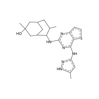 Cc1cc(Nc2nc(NC3C(C)CC4CC3CC(C)(O)C4)nc3ccsc23)n[nH]1